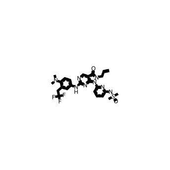 C=CCn1c(=O)c2cnc(Nc3ccc(N(C)C)c(CC(F)(F)F)c3)nc2n1-c1cccc(N=S(C)(C)=O)n1